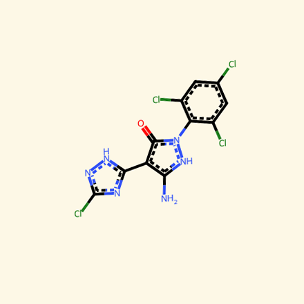 Nc1[nH]n(-c2c(Cl)cc(Cl)cc2Cl)c(=O)c1-c1nc(Cl)n[nH]1